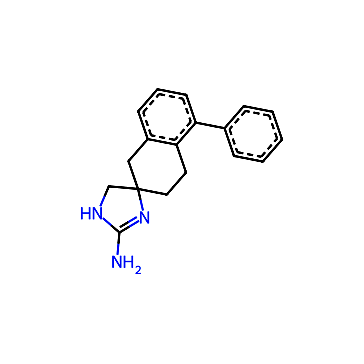 NC1=NC2(CCc3c(cccc3-c3ccccc3)C2)CN1